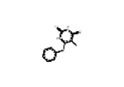 Cc1c(Sc2ccccc2)[nH]c(=O)[nH]c1=O